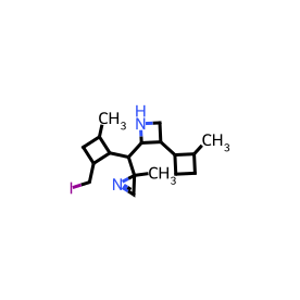 CC1CCC1C1CNC1C(C1C(C)CC1CI)C1(C)C=N1